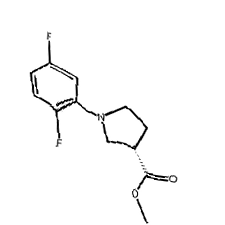 COC(=O)[C@H]1CCN(c2cc(F)ccc2F)C1